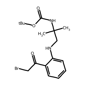 CC(C)(CNc1ccccc1C(=O)CBr)NC(=O)OC(C)(C)C